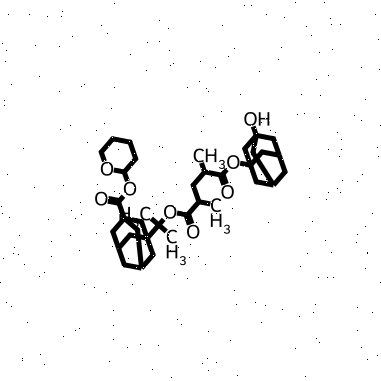 CC(CC(C)C(=O)OC(C)(C)C12CC3CC(CC(C(=O)OC4CCCCO4)(C3)C1)C2)C(=O)OC12CC3CC(CC(O)(C3)C1)C2